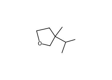 CC(C)C1(C)CCOC1